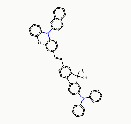 Cc1ccccc1N(c1ccc(/C=C/c2ccc3c(c2)C(C)(C)c2cc(N(c4ccccc4)c4ccccc4)ccc2-3)cc1)c1ccc2ccccc2c1